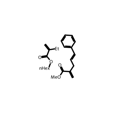 C=C(CC)C(=O)OCCCCCC.C=C(CC=Cc1ccccc1)C(=O)OC